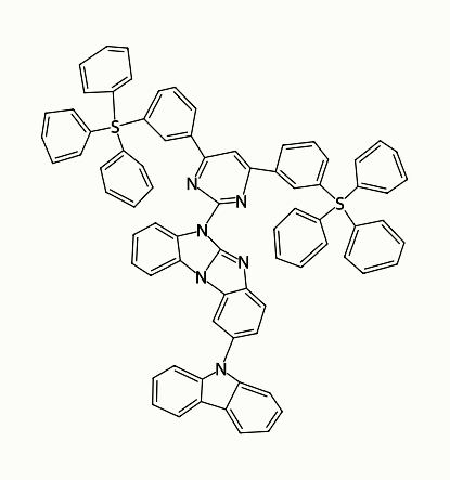 c1ccc(S(c2ccccc2)(c2ccccc2)c2cccc(-c3cc(-c4cccc(S(c5ccccc5)(c5ccccc5)c5ccccc5)c4)nc(-n4c5ccccc5n5c6cc(-n7c8ccccc8c8ccccc87)ccc6nc45)n3)c2)cc1